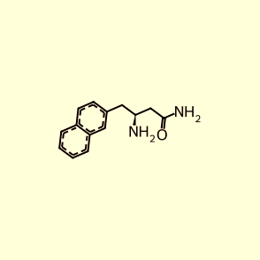 NC(=O)C[C@@H](N)Cc1ccc2ccccc2c1